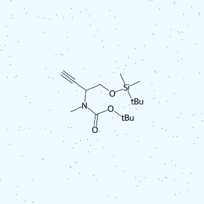 C#CC(CO[Si](C)(C)C(C)(C)C)N(C)C(=O)OC(C)(C)C